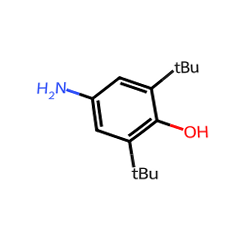 CC(C)(C)c1cc(N)cc(C(C)(C)C)c1O